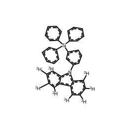 [2H]c1c([2H])c([2H])c2c(c1[2H])c1c([2H])c([2H])c([2H])c([2H])c1n2-c1cccc([Si](c2ccccc2)(c2ccccc2)c2ccccc2)c1